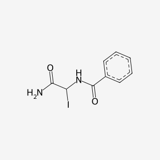 NC(=O)C(I)NC(=O)c1ccccc1